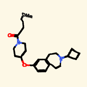 COCCC(=O)N1CCC(Oc2ccc3c(c2)CCN(C2CCC2)CC3)CC1